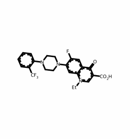 CCn1cc(C(=O)O)c(=O)c2cc(F)c(N3CCN(c4ccccc4C(F)(F)F)CC3)cc21